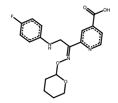 O=C(O)c1ccnc(/C(CNc2ccc(F)cc2)=N/OC2CCCCO2)c1